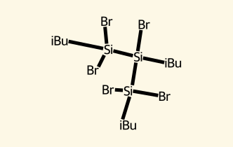 CCC(C)[Si](Br)(Br)[Si](Br)(C(C)CC)[Si](Br)(Br)C(C)CC